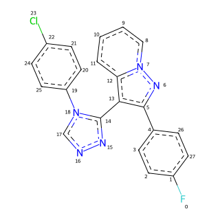 Fc1ccc(-c2nn3ccccc3c2-c2nncn2-c2ccc(Cl)cc2)cc1